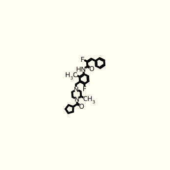 Cc1c(NC(=O)/C(F)=C\c2ccccc2)ccc(F)c1CN1CCN(C(=O)C2CCCC2)C(C)C1